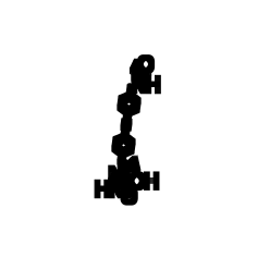 O=c1[nH]cnc(C2(Cc3ccc(C#Cc4ccc(CN[C@@H]5CCOC5)cc4)cc3)CC2)c1O